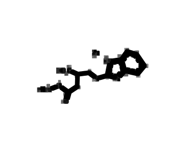 CCCCCCOC(=O)CC(CSc1nc2ccccc2[nH]1)C(=O)O.[Zn]